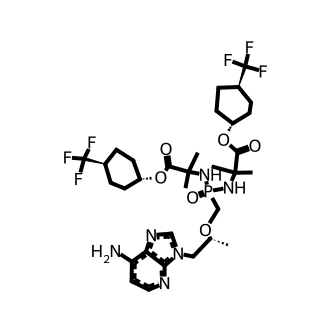 C[C@H](Cn1cnc2c(N)ccnc21)OCP(=O)(NC(C)(C)C(=O)O[C@H]1CC[C@H](C(F)(F)F)CC1)NC(C)(C)C(=O)O[C@H]1CC[C@H](C(F)(F)F)CC1